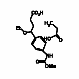 CCC(=O)O.CCOC(CCC(=O)O)c1ccc(NC(=O)OC)cc1